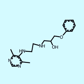 Cc1ncnc(C)c1NCCNCC(O)COc1ccccc1